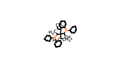 CCCC(C(C)C)(C(C)P(c1ccccc1)c1ccccc1)C(C)P(c1ccccc1)c1ccccc1